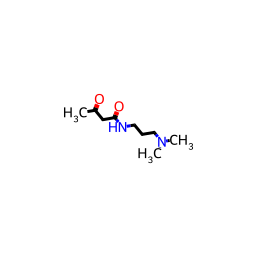 CC(=O)CC(=O)NCCCN(C)C